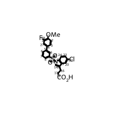 COc1ccc(-c2cccc(S(=O)(=O)n3cc(CCC(=O)O)c4cc(Cl)ccc43)c2)cc1F